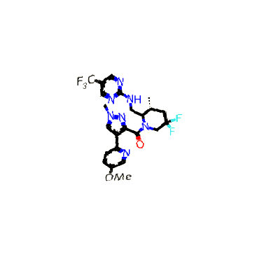 COc1ccc(-c2cn(C)nc2C(=O)N2CC(F)(F)C[C@@H](C)C2CNc2ncc(C(F)(F)F)cn2)nc1